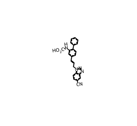 N#Cc1ccc2c(c1)nnn2CC=Cc1ccc(-c2ccccc2)c(NC(=O)O)c1